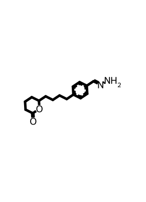 NN=Cc1ccc(CCCCC2CCCC(=O)O2)cc1